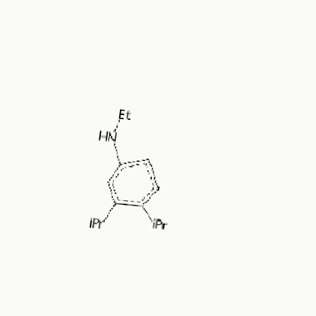 CCNc1ccc(C(C)C)c(C(C)C)c1